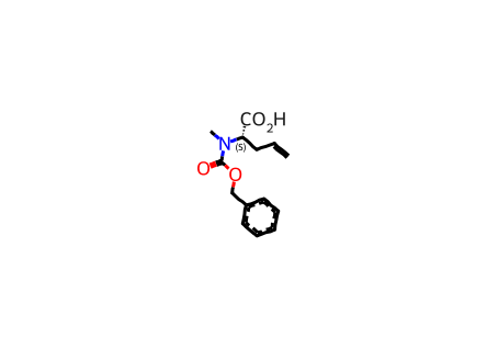 C=CC[C@@H](C(=O)O)N(C)C(=O)OCc1ccccc1